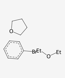 Brc1ccccc1.C1CCOC1.CCOCC